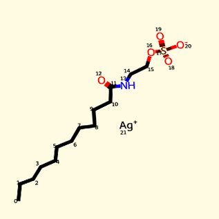 CCCCCCCCCCCC(=O)NCCOS(=O)(=O)[O-].[Ag+]